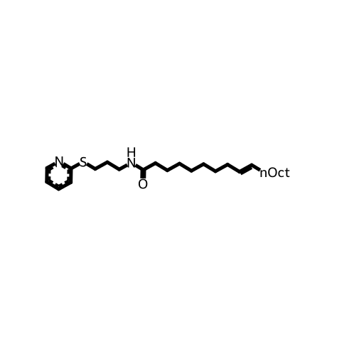 CCCCCCCCC=CCCCCCCCC(=O)NCCCSc1ccccn1